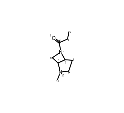 CCC(=O)N1CC2C1CCN2C